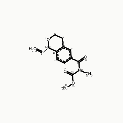 C=C[C@@H]1OCCc2cc(C(=O)N(C)C(=O)OC(C)(C)C)ccc21